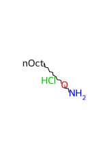 CCCCCCCCC=CCCCCCCCCOCCCN.Cl